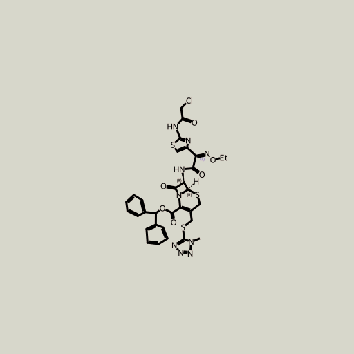 CCO/N=C(\C(=O)N[C@@H]1C(=O)N2C(C(=O)OC(c3ccccc3)c3ccccc3)=C(CSc3nnnn3C)CS[C@H]12)c1csc(NC(=O)CCl)n1